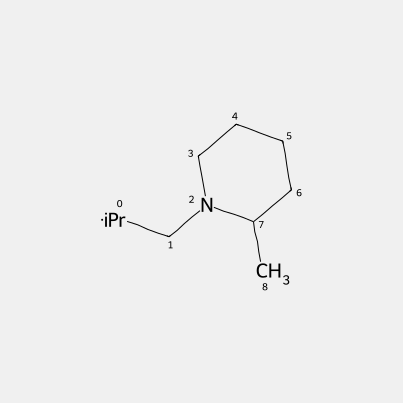 C[C](C)CN1CCCCC1C